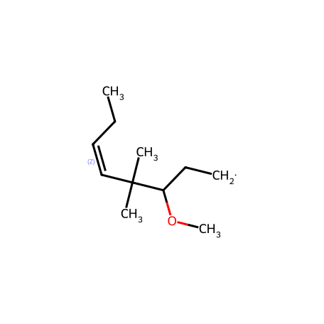 [CH2]CC(OC)C(C)(C)/C=C\CC